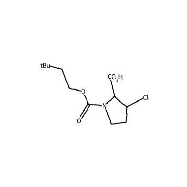 CC(C)(C)CCOC(=O)N1CCC(Cl)C1C(=O)O